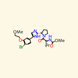 COCCOc1cc(-c2cnc([C@@H]3CCCN3C(=O)[C@@H](NC(=O)OC)C(C)C)[nH]2)ccc1Br